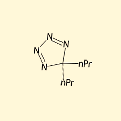 [CH2]CCC1(CCC)N=NN=N1